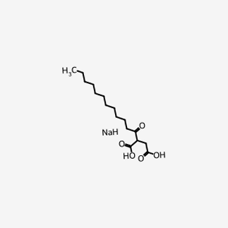 CCCCCCCCCCCC(=O)C(CC(=O)O)C(=O)O.[NaH]